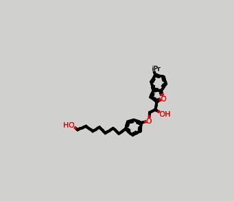 CC(C)c1ccc2oc(C(O)COc3ccc(CCCCCCCO)cc3)cc2c1